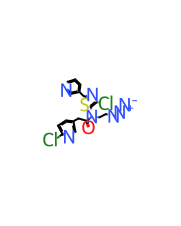 [N-]=[N+]=NCCN(C(=O)Cc1ccc(Cl)nc1)c1sc(-c2cccnc2)nc1Cl